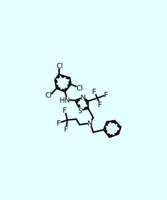 FC(F)(F)CCN(Cc1ccccc1)Cc1sc(Nc2c(Cl)cc(Cl)cc2Cl)nc1C(F)(F)F